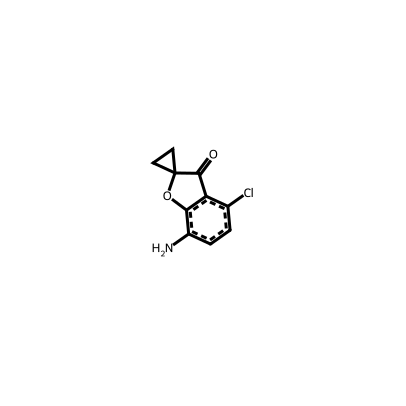 Nc1ccc(Cl)c2c1OC1(CC1)C2=O